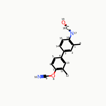 Cc1cc(-c2ccc(OC#N)c(C)c2)ccc1N=C=O